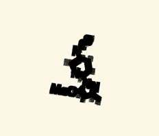 COc1cc(C)nn1-c1ccc(N=C=O)cn1